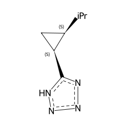 CC(C)[C@@H]1C[C@@H]1c1nnn[nH]1